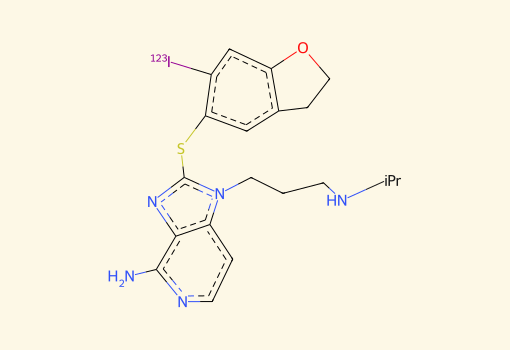 CC(C)NCCCn1c(Sc2cc3c(cc2[123I])OCC3)nc2c(N)nccc21